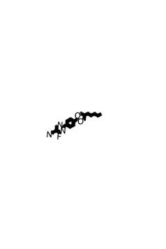 CCCCCC1COC(c2ccc(-c3ncc(C#N)c(F)n3)cc2)OC1